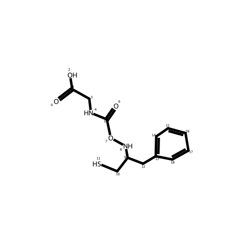 O=C(O)CNC(=O)ONC(CS)Cc1ccccc1